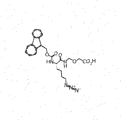 [N-]=[N+]=NCCCC[C@H](NC(=O)OCC1c2ccccc2-c2ccccc21)C(=O)NCOCC(=O)O